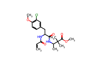 C=CC(=O)NC(Cc1ccc(OC)c(Cl)c1)C(=O)NC(C)C(C)(C)C(=O)OC